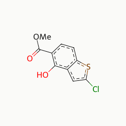 COC(=O)c1ccc2sc(Cl)cc2c1O